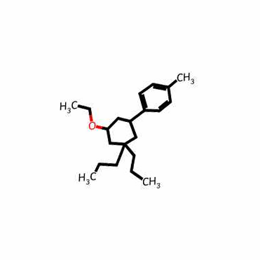 CCCC1(CCC)CC(OCC)CC(c2ccc(C)cc2)C1